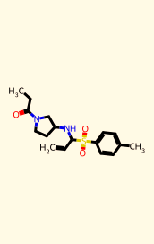 C=CC(NC1CCN(C(=O)CC)C1)S(=O)(=O)c1ccc(C)cc1